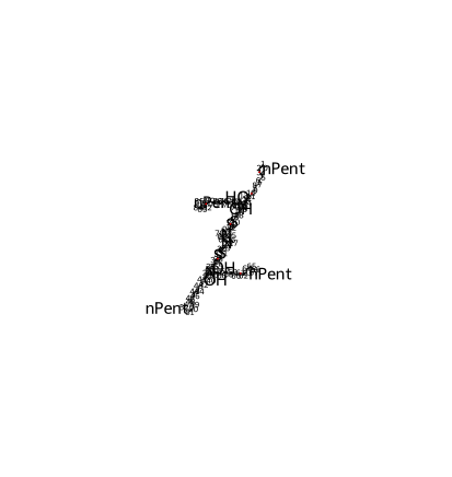 CCCCC/C=C\C/C=C\CCCCCCC(O)CN(CCCCSSCCN1CC(C)N(CCSSCCCCN(CC(O)CCCCCC/C=C\C/C=C\CCCCC)CC(O)CCCCCC/C=C\C/C=C\CCCCC)CC1C)CC(O)CCCCCC/C=C\C/C=C\CCCCC